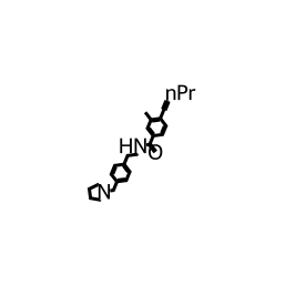 CCCC#Cc1ccc(C(=O)NCCc2ccc(CN3CCCC3)cc2)cc1C